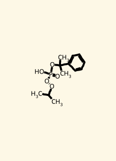 CC(C)OOP(=O)(O)OC(C)(C)c1ccccc1